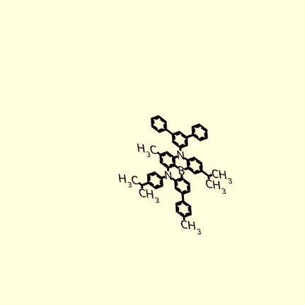 Cc1ccc(-c2ccc3c(c2)N(c2ccc(C(C)C)cc2)c2cc(C)cc4c2B3c2cc(C(C)C)ccc2N4c2cc(-c3ccccc3)cc(-c3ccccc3)c2)cc1